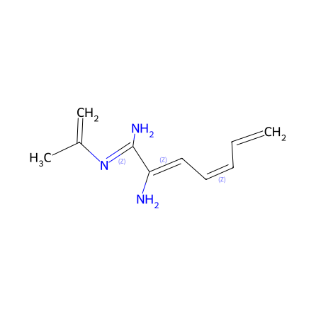 C=C\C=C/C=C(N)/C(N)=N/C(=C)C